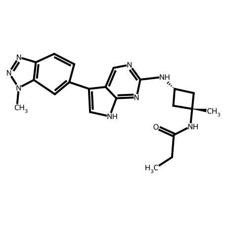 CCC(=O)N[C@]1(C)C[C@H](Nc2ncc3c(-c4ccc5nnn(C)c5c4)c[nH]c3n2)C1